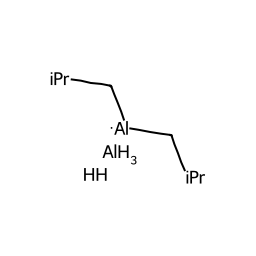 CC(C)[CH2][Al][CH2]C(C)C.[AlH3].[HH]